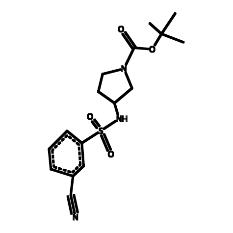 CC(C)(C)OC(=O)N1CCC(NS(=O)(=O)c2cccc(C#N)c2)C1